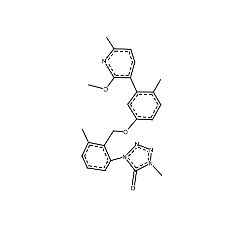 COc1nc(C)ccc1-c1cc(OCc2c(C)cccc2-n2nnn(C)c2=O)ccc1C